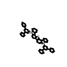 c1ccc(-c2cc(-c3ccccc3)cc(-n3c4ccccc4c4c5sc6c(ccc7c6c6ccccc6n7-c6cc(-c7ccccc7)cc(-c7ccccc7)c6)c5ccc43)c2)cc1